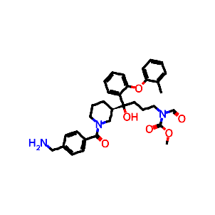 COC(=O)N(C=O)CCCC(O)(c1ccccc1Oc1ccccc1C)[C@@H]1CCCN(C(=O)c2ccc(CN)cc2)C1